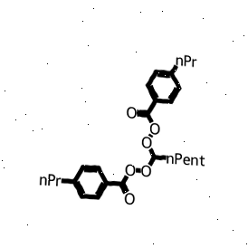 [CH2]CCCC[C](OOC(=O)c1ccc(CCC)cc1)OOC(=O)c1ccc(CCC)cc1